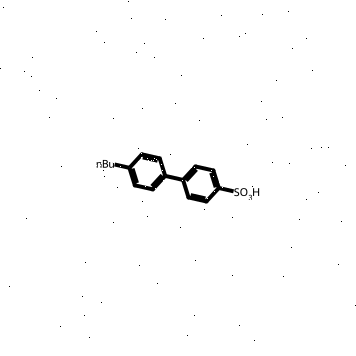 CCCCc1ccc(-c2ccc(S(=O)(=O)O)cc2)cc1